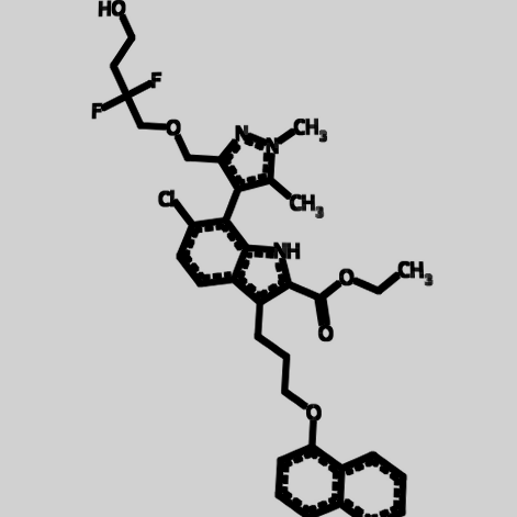 CCOC(=O)c1[nH]c2c(-c3c(COCC(F)(F)CCO)nn(C)c3C)c(Cl)ccc2c1CCCOc1cccc2ccccc12